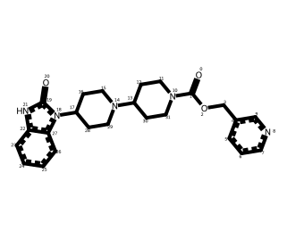 O=C(OCc1cccnc1)N1CCC(N2CCC(n3c(=O)[nH]c4ccccc43)CC2)CC1